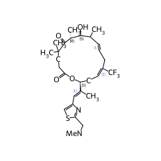 CNCc1nc(/C=C(\C)[C@@H]2C/C=C(/C(F)(F)F)C/C=C/C(C)[C@H](O)[C@@H](C)C(=O)C(C)(C)CCC(=O)O2)cs1